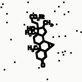 CCOC(=O)CC[C@]1(O)C(C)CC2C3C4CC4C4=CC(=O)CC[C@]4(C)C3CC[C@@]21C